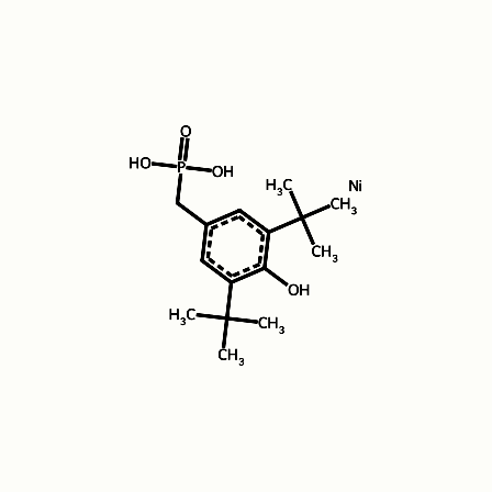 CC(C)(C)c1cc(CP(=O)(O)O)cc(C(C)(C)C)c1O.[Ni]